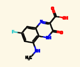 CNc1cc(F)cc2nc(C(=O)O)c(=O)[nH]c12